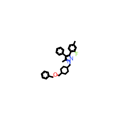 Cc1ccc(-c2nn(CC3CCC(COCc4ccccc4)CC3)c(C)c2-c2ccccc2)c(F)c1